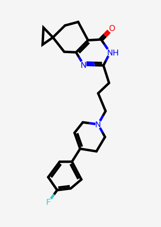 O=c1[nH]c(CCCN2CC=C(c3ccc(F)cc3)CC2)nc2c1CCC1(CC1)C2